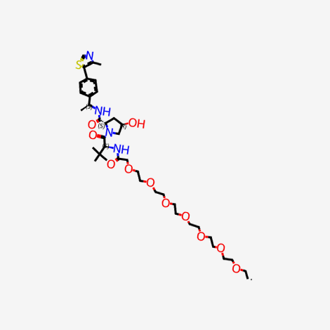 [CH2]COCCOCCOCCOCCOCCOCCOCC(=O)N[C@H](C(=O)N1C[C@H](O)C[C@H]1C(=O)N[C@@H](C)c1ccc(-c2scnc2C)cc1)C(C)(C)C